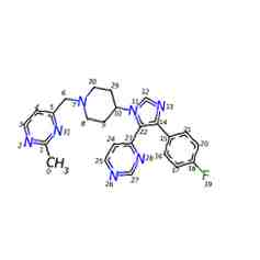 Cc1nccc(CN2CCC(n3cnc(-c4ccc(F)cc4)c3-c3ccncn3)CC2)n1